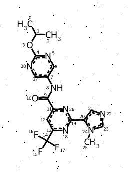 CC(C)Oc1ncc(NC(=O)c2cc(C(F)(F)F)nc(-c3cncn3C)n2)cn1